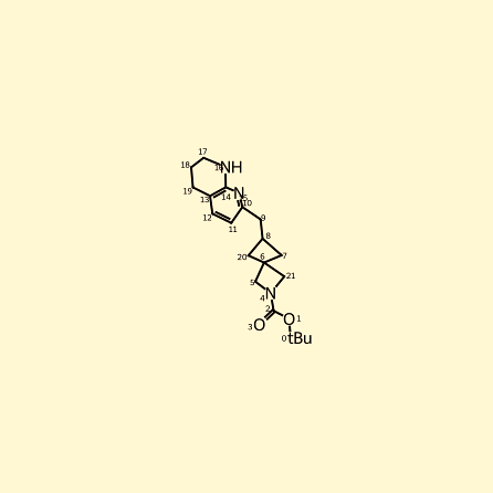 CC(C)(C)OC(=O)N1CC2(CC(Cc3ccc4c(n3)NCCC4)C2)C1